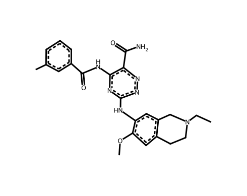 CCN1CCc2cc(OC)c(Nc3nnc(C(N)=O)c(NC(=O)c4cccc(C)c4)n3)cc2C1